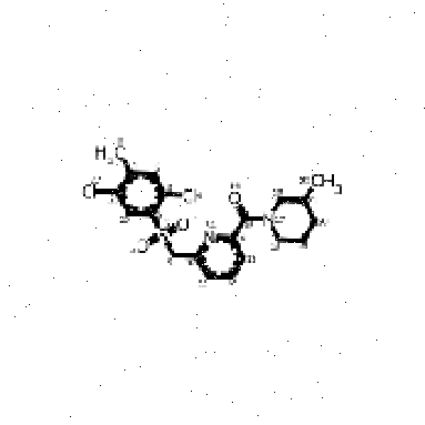 Cc1cc(Cl)c(S(=O)(=O)Cc2cccc(C(=O)N3CCCC(C)C3)n2)cc1Cl